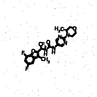 Cc1c(C(NC(=O)Nc2cnc(N3CCOC[C@@H]3C)nc2)C(F)(F)F)oc2c(F)cc(F)cc12